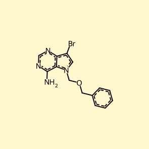 Nc1ncnc2c(Br)cn(COCc3ccccc3)c12